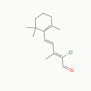 CC1=C(/C=C/C(C)=C(\Cl)C=O)C(C)(C)CCC1